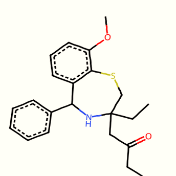 CCC(=O)CC1(CC)CSc2c(OC)cccc2C(c2ccccc2)N1